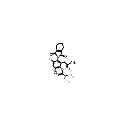 C=C(C)Cc1c(OC(=O)N(C)C)c(Cl)cc(F)c1N1C(=O)C2=C(CCCC2)C1=O